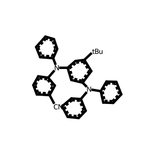 CC(C)(C)c1cc(N(c2ccccc2)c2ccccc2)cc(N(c2ccccc2)c2cccc(C#N)c2)c1